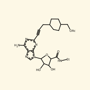 CCNC(=O)C1OC(n2cnc3c(N)nc(C#CCC4CCC(COC(C)=O)CC4)nc32)C(O)C1O